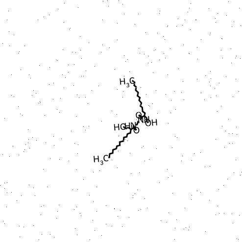 CCCCCCCCCCCCCCC(CCO)C(=O)NCCNC(=O)C(CCO)CCCCCCCCCCCCCC